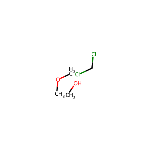 CO.COC.ClCCl